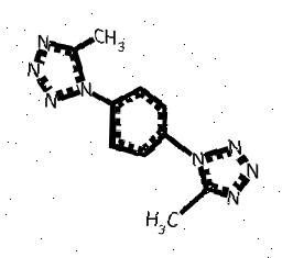 Cc1nnnn1-c1ccc(-n2nnnc2C)cc1